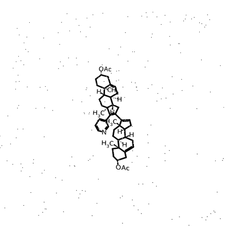 CC(=O)O[C@H]1CC[C@@]2(C)C(=CC[C@@H]3[C@@H]2CC[C@]2(C)C(C4=C(c5cccnc5)[C@@]5(C)CC[C@H]6[C@@H](CC=C7C[C@@H](OC(C)=O)CC[C@@]76C)[C@@H]5C4)=CC[C@@H]32)C1